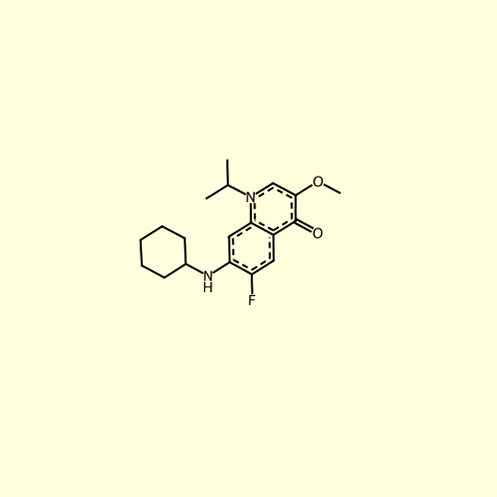 COc1cn(C(C)C)c2cc(NC3CCCCC3)c(F)cc2c1=O